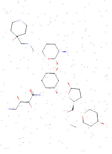 NC[C@@H](O)C(O)C(=O)N[C@@H]1C[C@H](N)[C@@H](O[C@H]2O[C@H](CNCC3(O)CCNCC3)CC[C@H]2N)[C@H](O[C@@H]2O[C@H](CO)[C@@H](O[C@H]3O[C@@H](CN)[C@@H](O)[C@H](O)[C@H]3N)[C@H]2O)[C@H]1O